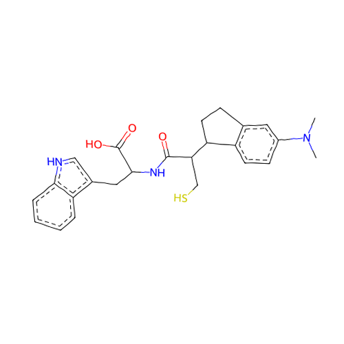 CN(C)c1ccc2c(c1)CCC2C(CS)C(=O)NC(Cc1c[nH]c2ccccc12)C(=O)O